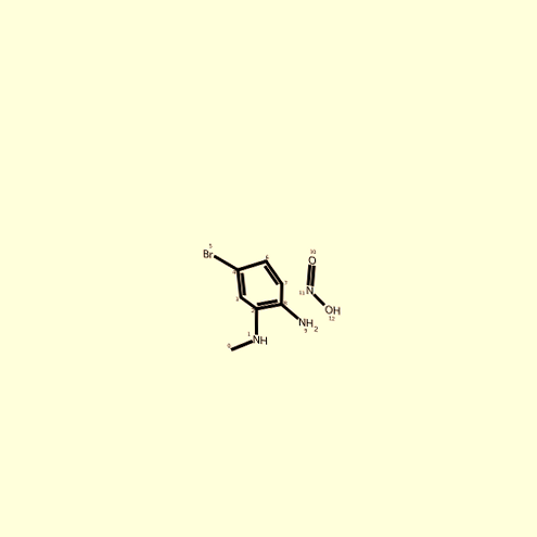 CNc1cc(Br)ccc1N.O=NO